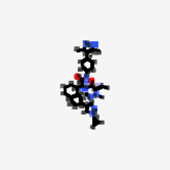 C=NN(C)/C(=C\C)C(=O)N[C@H](C(=O)Nc1ccc(-c2c(C)n[nH]c2C)cc1)[C@@H]1CCCc2ccc(-c3cnn(C4CC4)c3)cc21